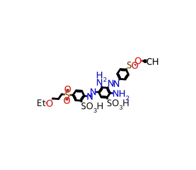 C#COOSc1ccc(N=Nc2c(N)c(N=Nc3ccc(S(=O)(=O)CCCOCC)cc3S(=O)(=O)O)cc(S(=O)(=O)O)c2N)cc1